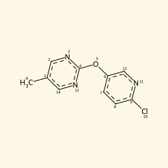 Cc1cnc(Oc2ccc(Cl)nc2)nc1